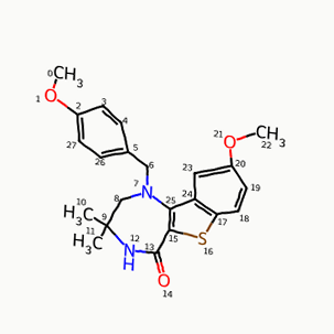 COc1ccc(CN2CC(C)(C)NC(=O)c3sc4ccc(OC)cc4c32)cc1